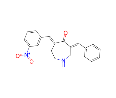 O=C1/C(=C/c2cccc([N+](=O)[O-])c2)CCNC/C1=C\c1ccccc1